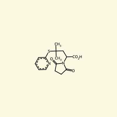 CC(C)(CC(C(=O)O)N1C(=O)CCC1=O)Sc1ccccn1